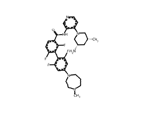 C[C@@H]1C[C@H](N)CN(c2ccncc2NC(=O)c2ccc(F)c(-c3c(F)cc(N4CCCN(C)CC4)cc3F)c2F)C1